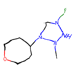 CN1NN(F)[CH]N1C1CCOCC1